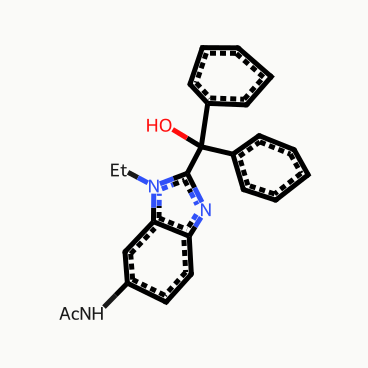 CCn1c(C(O)(c2ccccc2)c2ccccc2)nc2ccc(NC(C)=O)cc21